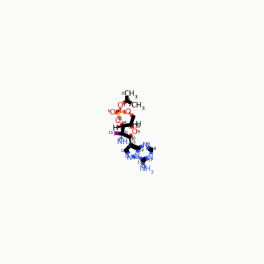 CC(C)O[P@@]1(=O)OC[C@H]2O[C@@H](c3cnn4c(N)ncnc34)[C@@](N)(I)[C@@H]2O1